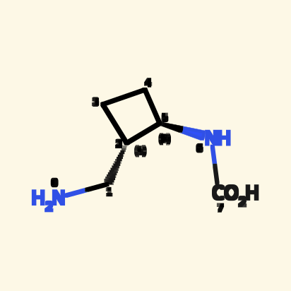 NC[C@@H]1CC[C@H]1NC(=O)O